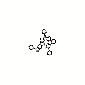 c1ccc(-c2nc(-c3ccccc3)nc(-n3c4cc5ccn(-c6ccccc6)c5cc4c4ccc5c(c6ccccc6n5-c5ccccc5)c43)n2)cc1